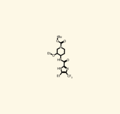 CCOC1CN(C(=O)OC(C)(C)C)CCC1NC(=O)c1nc(C(F)(F)F)c(CC)[nH]1